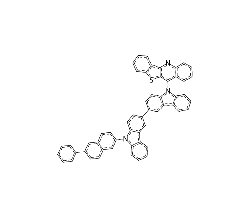 c1ccc(-c2ccc3cc(-n4c5ccccc5c5cc(-c6ccc7c(c6)c6ccccc6n7-c6c7ccccc7nc7c6sc6ccccc67)ccc54)ccc3c2)cc1